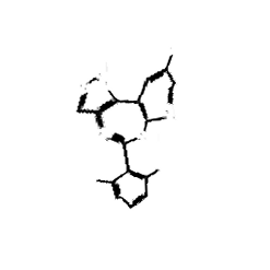 Fc1cccc(F)c1C1=Nc2cn[nH]c2-c2cc(C(F)(F)F)cnc2N1